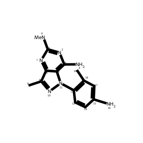 CNc1nc(N)c2c(n1)c(C)nn2-c1ccc(N)cc1C